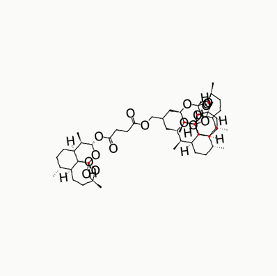 C[C@H]1[C@H](OC(=O)CCC(=O)OCC(C[C@H]2O[C@@H]3O[C@@]4(C)CC[C@H]5[C@H](C)CC[C@@H]([C@H]2C)[C@@]35OO4)C[C@H]2O[C@@H]3O[C@@]4(C)CC[C@H]5[C@H](C)CC[C@@H]([C@H]2C)[C@@]35OO4)O[C@@H]2O[C@@]3(C)CC[C@H]4[C@H](C)CC[C@@H]1[C@@]24OO3